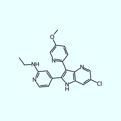 CCNc1cc(-c2[nH]c3cc(Cl)cnc3c2-c2ccc(OC)cn2)ccn1